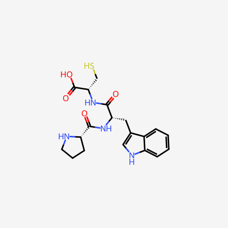 O=C(O)[C@H](CS)NC(=O)[C@H](Cc1c[nH]c2ccccc12)NC(=O)[C@@H]1CCCN1